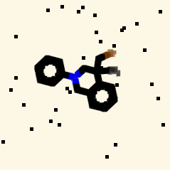 CC1(CBr)CN(c2ccccc2)Cc2ccccc21